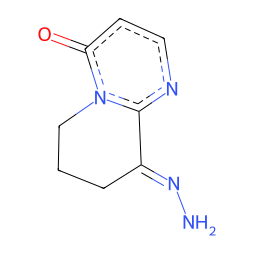 NN=C1CCCn2c1nccc2=O